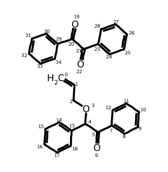 C=CCOC(C(=O)c1ccccc1)c1ccccc1.O=C(C(=O)c1ccccc1)c1ccccc1